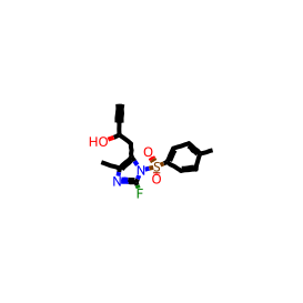 C#CC(O)Cc1c(C)nc(F)n1S(=O)(=O)c1ccc(C)cc1